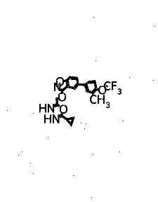 Cc1cc(-c2ccc3onc(OCC(=N)OC(=N)C4CC4)c3c2)ccc1OC(F)(F)F